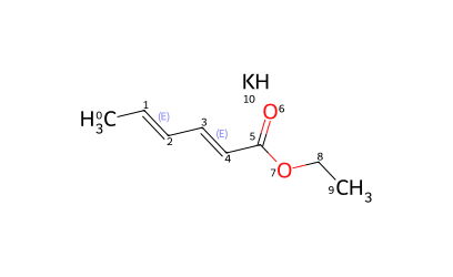 C/C=C/C=C/C(=O)OCC.[KH]